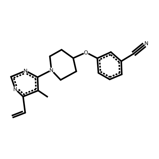 C=Cc1ncnc(N2CCC(Oc3cccc(C#N)c3)CC2)c1C